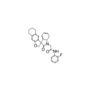 O=C(CN1C(=O)C2(COc3cc4c(cc32)CCCC4)C2=CC=CCC21)Nc1ccccc1F